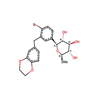 CS[C@H]1O[C@@H](c2ccc(Br)c(Cc3ccc4c(c3)OCCO4)c2)[C@H](O)[C@@H](O)[C@@H]1O